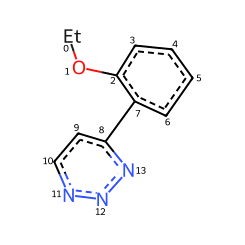 CCOc1ccccc1-c1ccnnn1